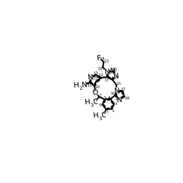 Cc1ccc2c(c1)C(C)Oc1cc(cnc1N)-c1c(nnn1CCF)Cn1ccnc1-2